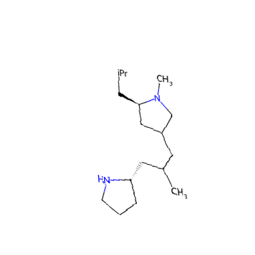 CC(C)C[C@@H]1CC(CC(C)C[C@@H]2CCCN2)CN1C